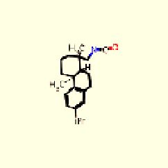 CC(C)c1ccc2c(c1)CC[C@H]1[C@@](C)(CN=C=O)CCC[C@]21C